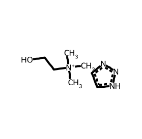 C[N+](C)(C)CCO.c1c[nH]nn1